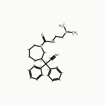 CN(C)CCNC(=O)N1CCCCC(C(C#N)(c2ccccc2)c2ccccc2)C1